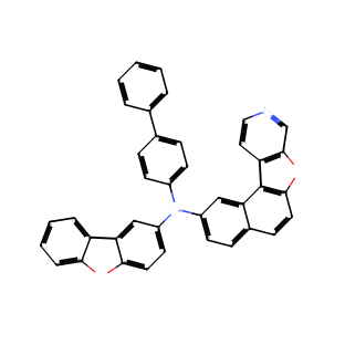 c1ccc(-c2ccc(N(c3ccc4oc5ccccc5c4c3)c3ccc4ccc5oc6cnccc6c5c4c3)cc2)cc1